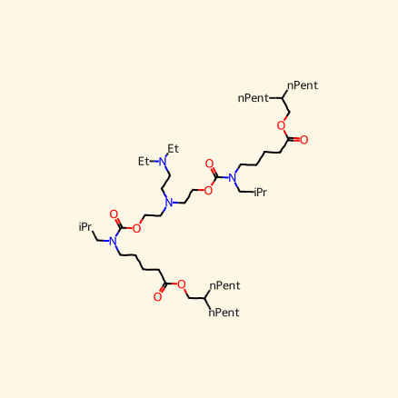 CCCCCC(CCCCC)COC(=O)CCCCN(CC(C)C)C(=O)OCCN(CCOC(=O)N(CCCCC(=O)OCC(CCCCC)CCCCC)CC(C)C)CCN(CC)CC